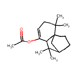 CC(=O)OC1=CCC(C)(C)C23CCC(C2)C(C)(C)C13